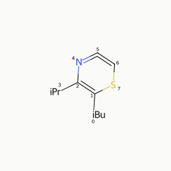 CCC(C)C1=C(C(C)C)N=C=CS1